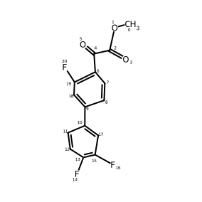 COC(=O)C(=O)c1ccc(-c2ccc(F)c(F)c2)cc1F